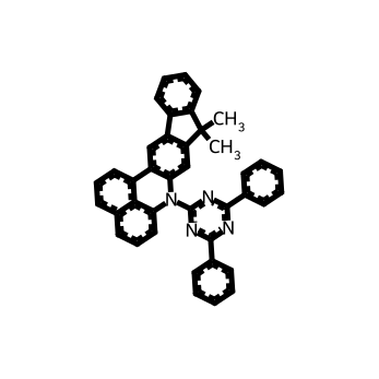 CC1(C)c2ccccc2-c2cc3c(cc21)N(c1nc(-c2ccccc2)nc(-c2ccccc2)n1)c1cccc2cccc-3c12